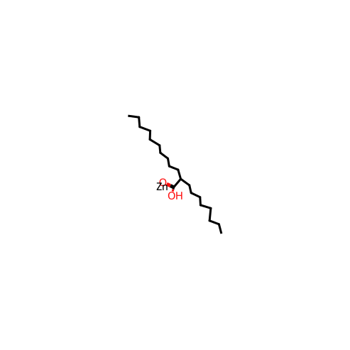 CCCCCCCCCCC(CCCCCCCC)C(=O)O.[Zn]